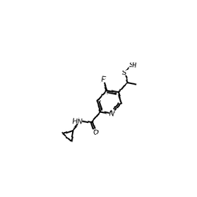 CC(SS)c1cnc(C(=O)NC2CC2)cc1F